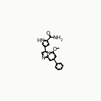 COc1cc(-c2ccccc2)cc2ncc(-c3c[nH]c(C(N)=O)c3)n12